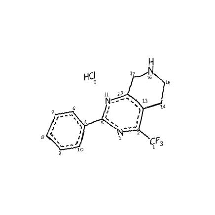 Cl.FC(F)(F)c1nc(-c2ccccc2)nc2c1CCNC2